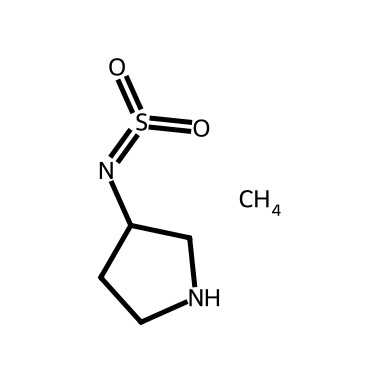 C.O=S(=O)=NC1CCNC1